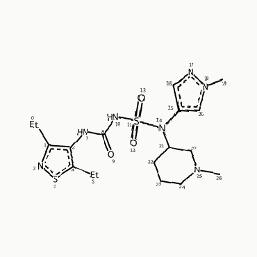 CCc1nsc(CC)c1NC(=O)NS(=O)(=O)N(c1cnn(C)c1)C1CCCN(C)C1